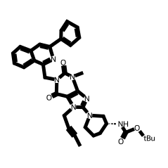 CC#CCn1c(N2CCC[C@@H](NC(=O)OC(C)(C)C)C2)nc2c1c(=O)n(Cc1nc(-c3ccccc3)cc3ccccc13)c(=O)n2C